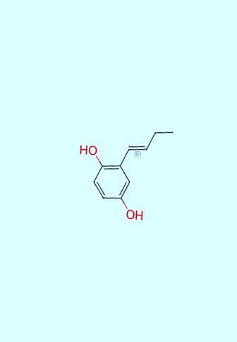 CC/C=C/c1cc(O)ccc1O